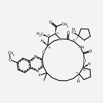 COc1ccc2nc3c(nc2c1)O[C@H]1CN(C(=O)[C@H](C2(C)CCCC2)NC(=O)O[C@@H]2CCC[C@H]2CCCCC3(F)F)[C@H](C(C)=O)[C@@H]1C